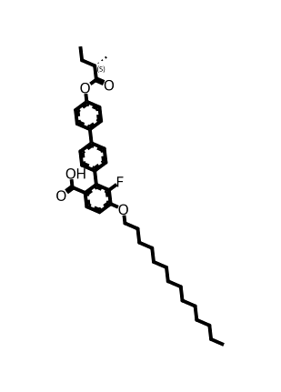 CCCCCCCCCCCCCCOc1ccc(C(=O)O)c(-c2ccc(-c3ccc(OC(=O)[C@@H](C)CC)cc3)cc2)c1F